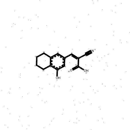 N#CC(=Cc1cc(O)c2c(c1)CCCC2)C(=O)O